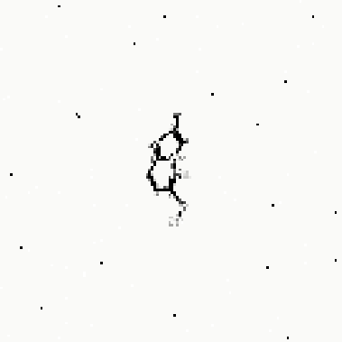 CCSc1ccc2nc(C)cn2n1